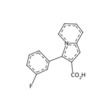 O=C(O)c1cc2ccccn2c1-c1cccc(F)c1